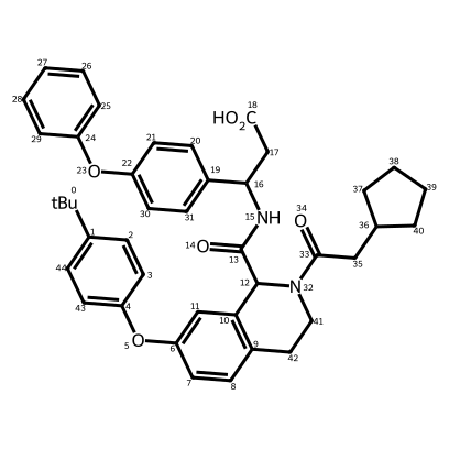 CC(C)(C)c1ccc(Oc2ccc3c(c2)C(C(=O)NC(CC(=O)O)c2ccc(Oc4ccccc4)cc2)N(C(=O)CC2CCCC2)CC3)cc1